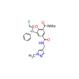 CNC(=O)c1cc(C(=O)NCc2cnn(C)c2)cc2c1O[C@H](CF)[C@H]2c1ccccc1